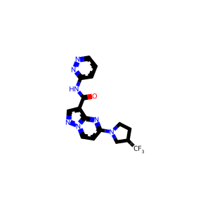 O=C(Nc1cccnn1)c1cnn2ccc(N3CCC(C(F)(F)F)C3)nc12